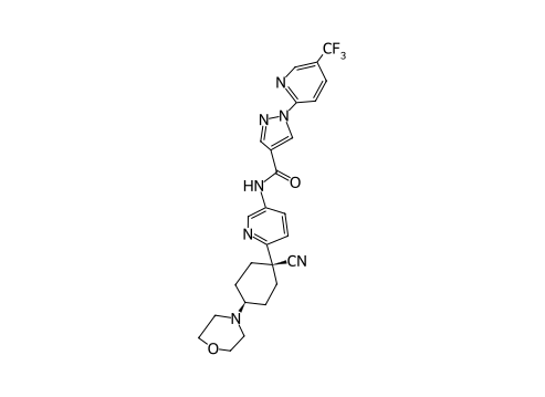 N#C[C@]1(c2ccc(NC(=O)c3cnn(-c4ccc(C(F)(F)F)cn4)c3)cn2)CC[C@H](N2CCOCC2)CC1